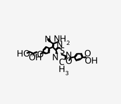 Cc1oc(-c2ccc(C(=O)O)cc2)nc1CSc1nc(N)c(C#N)c(-c2ccc(OC[C@@H](O)CO)cc2)c1C#N